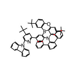 CC(C)(C)c1cc(-c2ccc3c(c2)B2c4cc(C(C)(C)C)ccc4Oc4cc(C(C)(C)C)cc(c42)N3c2c(-c3ccccc3)cccc2-c2ccccc2)nc(-n2c3ccccc3c3ccccc32)c1